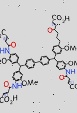 COc1cc(C(c2ccc(-c3ccc(C(c4ccc(NC(=O)/C=C/C(=O)O)c(OC)c4)c4ccc(NC(=O)/C=C/C(=O)O)c(OC)c4)cc3)cc2)c2ccc(NC(=O)/C=C/C(=O)O)c(OC)c2)ccc1CCCC(=O)/C=C/C(=O)O